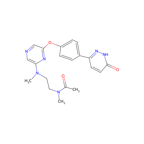 CC(=O)N(C)CCN(C)c1cncc(Oc2ccc(-c3ccc(=O)[nH]n3)cc2)n1